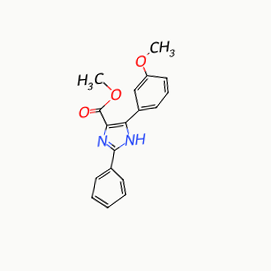 COC(=O)c1nc(-c2ccccc2)[nH]c1-c1cccc(OC)c1